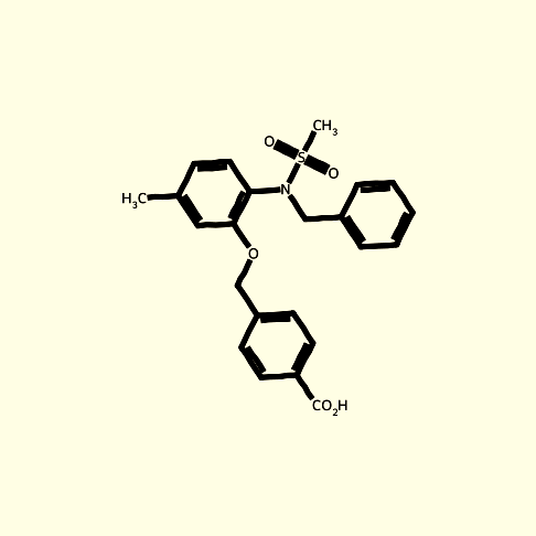 Cc1ccc(N(Cc2ccccc2)S(C)(=O)=O)c(OCc2ccc(C(=O)O)cc2)c1